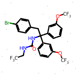 O=C(NCC(F)(F)F)NC(Cc1ccc(Br)cc1)(c1cccc(OC(F)(F)F)c1)c1cccc(OC(F)(F)F)c1